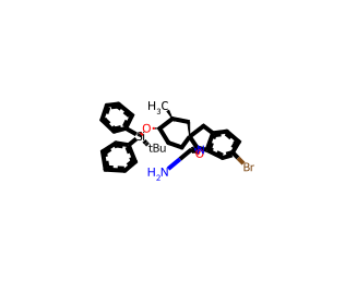 C[C@H]1C[C@@]2(CC[C@@H]1O[Si](c1ccccc1)(c1ccccc1)C(C)(C)C)Cc1ccc(Br)cc1C21COC(N)=N1